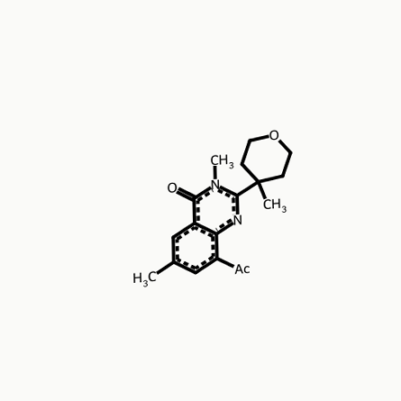 CC(=O)c1cc(C)cc2c(=O)n(C)c(C3(C)CCOCC3)nc12